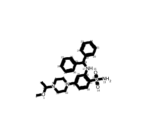 COC(C)N1CCN(c2ccc(S(N)(=O)=O)c(NC(c3ccccc3)c3ccccc3)c2)CC1